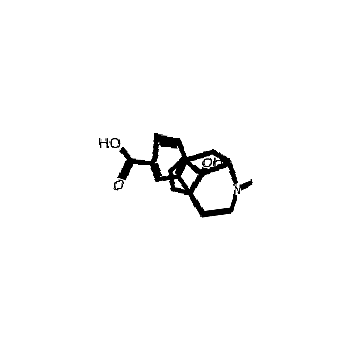 CN1CCC23CCCC2(O)C1Cc1ccc(C(=O)O)cc13